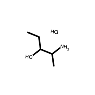 CCC(O)C(C)N.Cl